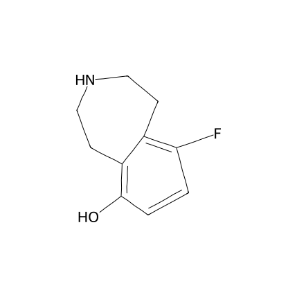 Oc1ccc(F)c2c1CCNCC2